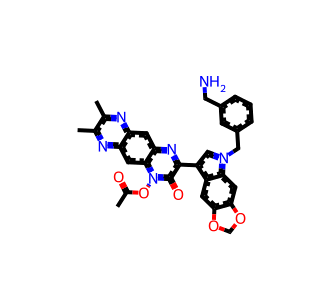 CC(=O)On1c(=O)c(-c2cn(Cc3cccc(CN)c3)c3cc4c(cc23)OCO4)nc2cc3nc(C)c(C)nc3cc21